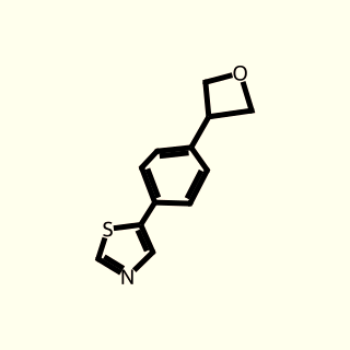 c1ncc(-c2ccc(C3COC3)cc2)s1